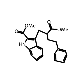 COC(=O)c1[nH]c2ccccc2c1CC(CCc1ccccc1)C(=O)OC